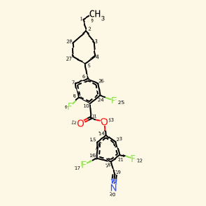 CCC1CCC(c2cc(F)c(C(=O)Oc3cc(F)c(C#N)c(F)c3)c(F)c2)CC1